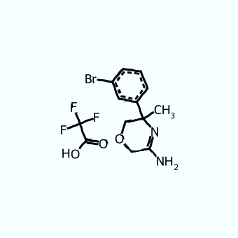 CC1(c2cccc(Br)c2)COCC(N)=N1.O=C(O)C(F)(F)F